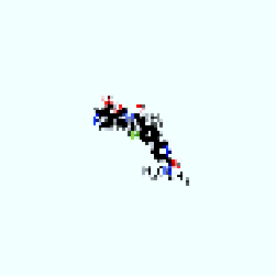 CN(C)C(=O)c1ccc(-c2ccc(C(C)(C)C(=O)N3CC[C@@]4(C3)OC(=O)c3cnccc34)c(F)c2)cn1